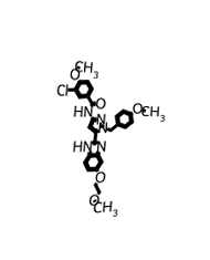 COCCOc1ccc2[nH]c(-c3cc(NC(=O)c4ccc(OC)c(Cl)c4)nn3Cc3ccc(OC)cc3)nc2c1